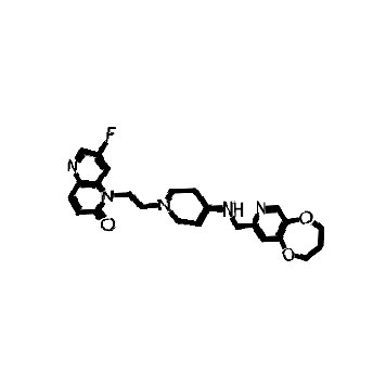 O=c1ccc2ncc(F)cc2n1CCN1CCC(NCc2cc3c(cn2)OCCCO3)CC1